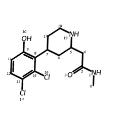 CNC(=O)CC1CC(c2c(O)ccc(Cl)c2Cl)CCN1